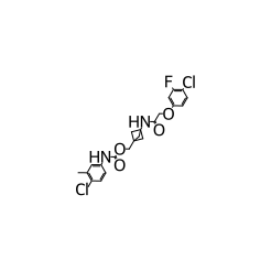 Cc1cc(NC(=O)OCC23CC(NC(=O)COc4ccc(Cl)c(F)c4)(C2)C3)ccc1Cl